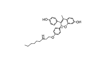 CCCCCCNCCOc1ccc([C@@H]2Oc3cc(O)ccc3C(C)=C2c2ccc(O)cc2)cc1